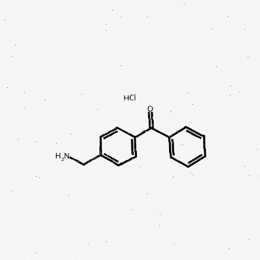 Cl.NCc1ccc(C(=O)c2ccccc2)cc1